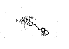 CO[C@H](C)CN(CCCCc1ccc2c(n1)NCCC2)CC[C@H](N)C(O)OC(C)(C)C